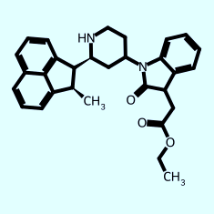 CCOC(=O)CC1C(=O)N(C2CCN[C@H](C3c4cccc5cccc(c45)[C@@H]3C)C2)c2ccccc21